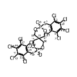 O=P1(Sc2c(Cl)c(Cl)c(Cl)c(Cl)c2Cl)OCC2(CO1)COP(=O)(Sc1c(Cl)c(Cl)c(Cl)c(Cl)c1Cl)OC2